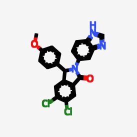 COc1ccc(C2c3cc(Cl)c(Cl)cc3C(=O)N2c2ccc3[nH]cnc3c2)cc1